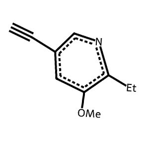 C#Cc1cnc(CC)c(OC)c1